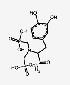 NC(=O)C(Cc1ccc(O)c(O)c1)N(CP(=O)(O)O)CP(=O)(O)O